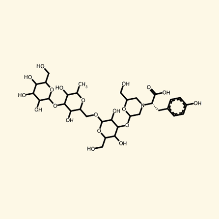 CC1OC(COC2OC(CO)C(O)C(OC3CN([C@@H](Cc4ccc(O)cc4)C(=O)O)CC(CO)O3)C2O)C(O)C(OC2OC(CO)C(O)C(O)C2O)C1O